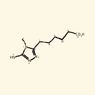 Cn1c(S)nnc1CCCCCC(=O)O